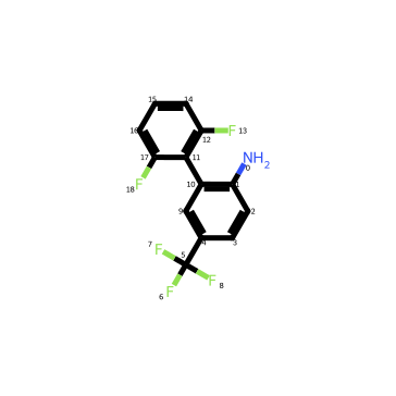 Nc1ccc(C(F)(F)F)cc1-c1c(F)cccc1F